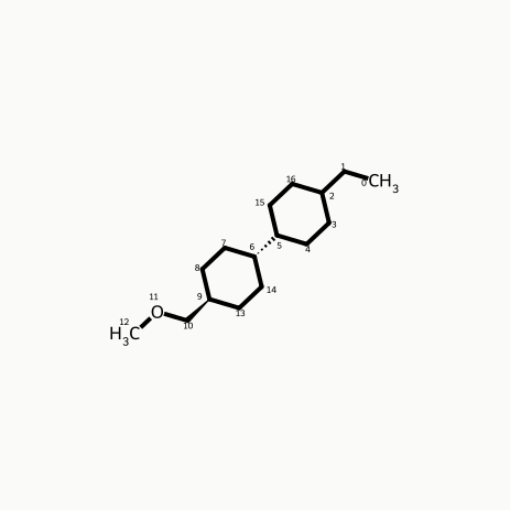 CCC1CCC([C@H]2CC[C@H](COC)CC2)CC1